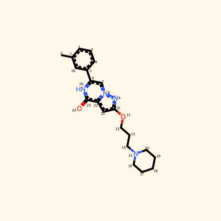 Cc1cccc(-c2cn3nc(OCCCN4CCCCC4)cc3c(=O)[nH]2)c1